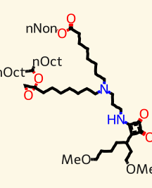 CCCCCCCCCOC(=O)CCCCCCCN(CCCCCCCC1(OC(CCCCCCCC)CCCCCCCC)CO1)CCCNc1c(C(CCCCOC)CCOC)c(=O)c1=O